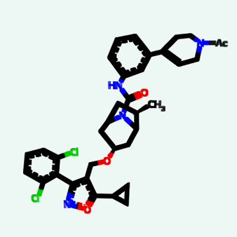 CC(=O)N1CC=C(c2cccc(NC(=O)N3C4C[C@H](OCc5c(-c6c(Cl)cccc6Cl)noc5C5CC5)CC3[C@H](C)C4)c2)CC1